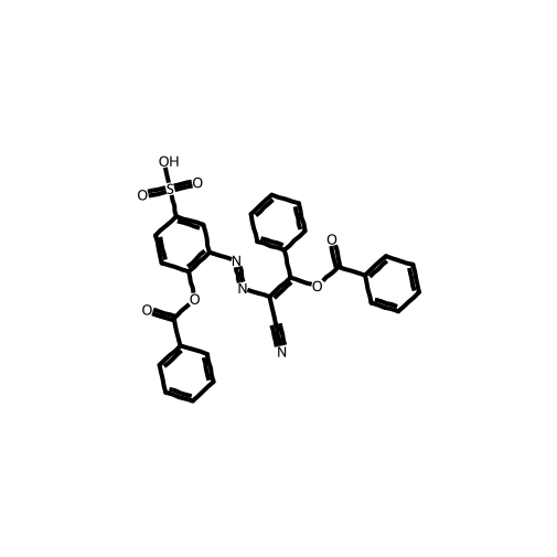 N#C/C(N=Nc1cc(S(=O)(=O)O)ccc1OC(=O)c1ccccc1)=C(\OC(=O)c1ccccc1)c1ccccc1